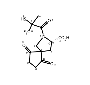 CC(S)(C(=O)N1CC2(C[C@H]1C(=O)O)C(=O)CCC2=O)C(F)(F)F